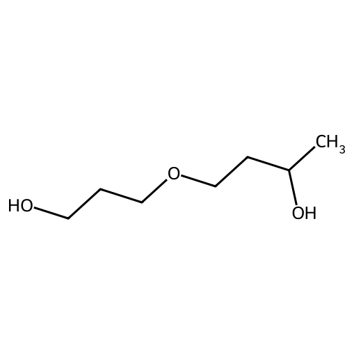 CC(O)CCOCCCO